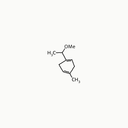 COC(C)C1=CCC(C)=CC1